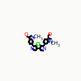 Cn1cc(C=O)c2ccc(-c3nccc(-c4ccnc(-c5ccc6c(C=O)cn(C)c6c5)c4Cl)c3Cl)cc21